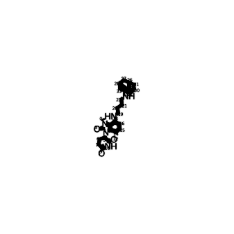 Cn1c(=O)n(C2CCC(=O)NC2=O)c2cccc(NCCCCNC34CC5CC(CC(C5)C3)C4)c21